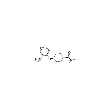 CN(C)C(=O)[C@H]1CC[C@@H](Oc2ccncc2N)CC1